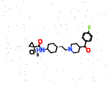 O=C(c1ccc(F)cc1)C1CCN(CC[C@H]2CC[C@H](NC(=O)C3(C(F)(F)F)CC3)CC2)CC1